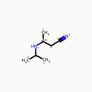 CC(C)N[C@@H](C)CC#N